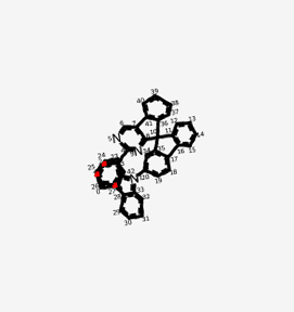 c1ccc(-c2ncc3c(n2)C2(c4ccccc4-c4ccc(-n5c6ccccc6c6ccccc65)cc42)c2ccccc2-3)cc1